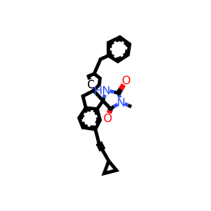 CN1C(=O)NC2(C1=O)c1cc(C#CC3CC3)ccc1CC21CCC(Cc2ccccc2)CC1